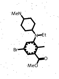 CCN(c1cc(Br)cc(C(=O)OC)c1C)C1CCC(NC)CC1